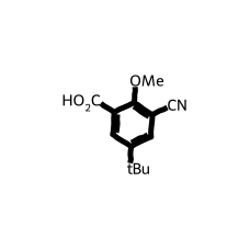 COc1c(C#N)cc(C(C)(C)C)cc1C(=O)O